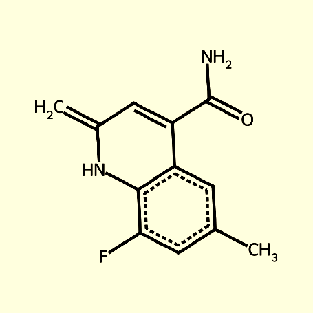 C=C1C=C(C(N)=O)c2cc(C)cc(F)c2N1